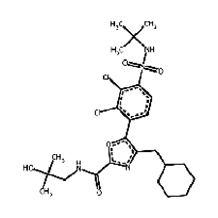 CC(C)(O)CNC(=O)c1nc(CC2CCCCC2)c(-c2ccc(S(=O)(=O)NC(C)(C)C)c(Cl)c2Cl)o1